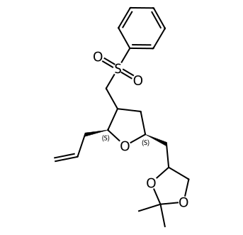 C=CC[C@@H]1O[C@H](CC2COC(C)(C)O2)CC1CS(=O)(=O)c1ccccc1